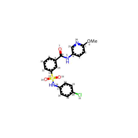 COc1ccc(NC(=O)c2cccc(S(=O)(=O)Nc3ccc(Cl)cc3)c2)cn1